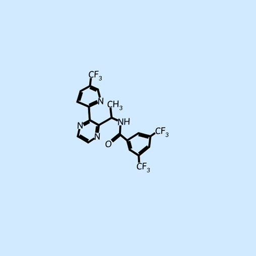 CC(NC(=O)c1cc(C(F)(F)F)cc(C(F)(F)F)c1)c1nccnc1-c1ccc(C(F)(F)F)cn1